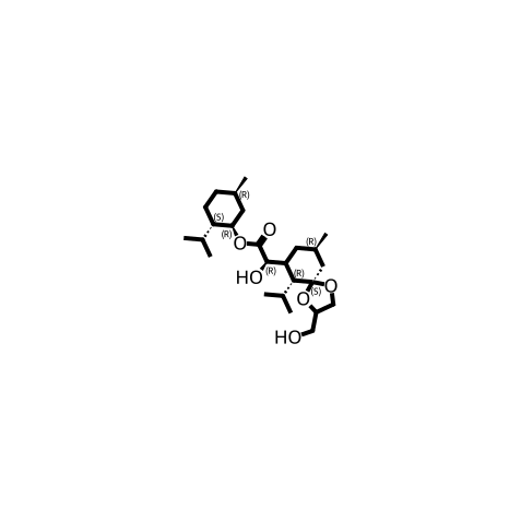 CC(C)[C@@H]1C([C@@H](O)C(=O)O[C@@H]2C[C@H](C)CC[C@H]2C(C)C)C[C@@H](C)C[C@@]12OCC(CO)O2